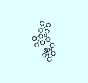 c1ccc(N(c2cccc(-c3ccc(N(c4cccc(C5(c6ccccc6)c6ccccc6-c6ccccc65)c4)c4ccc5c(c4)C(c4ccccc4)(c4ccccc4)c4ccccc4-5)cc3)c2)c2cccc3c2C(c2ccccc2)(c2ccccc2)c2ccccc2-3)cc1